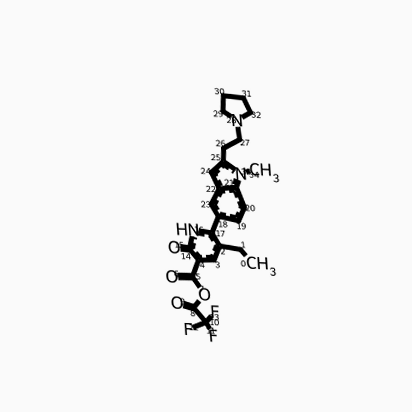 CCc1cc(C(=O)OC(=O)C(F)(F)F)c(=O)[nH]c1-c1ccc2c(c1)cc(CCN1CCCC1)n2C